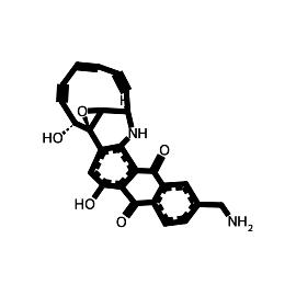 NCc1ccc2c(c1)C(=O)c1c3c(cc(O)c1C2=O)[C@@]12OC1[C@H](C#C/C=C\C#C[C@H]2O)N3